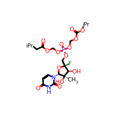 CC(C)CC(=O)OCOP(=O)(OCOC(=O)OC(C)C)OC[C@@]1(F)O[C@@H](n2ccc(=O)[nH]c2=O)[C@](C)(O)[C@@H]1O